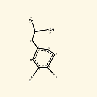 CCC(O)Cc1ccc(F)c(F)c1